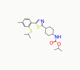 Cc1ccc(-c2cnc(C3CCC(NC(=O)OC(C)C)CC3)s2)c(SC(C)C)c1